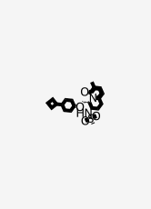 Cc1ccc2n(c1=O)[C@@H](COC1CCC(C3CCC3)CC1)[C@@H](NS(C)(=O)=O)CC2